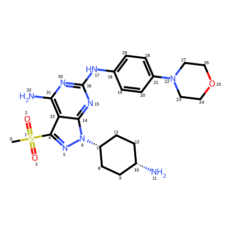 CS(=O)(=O)c1nn([C@H]2CC[C@@H](N)CC2)c2nc(Nc3ccc(N4CCOCC4)cc3)nc(N)c12